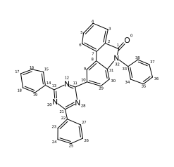 O=c1c2ccccc2c2cc(-c3nc(-c4ccccc4)nc(-c4ccccc4)n3)ccc2n1-c1ccccc1